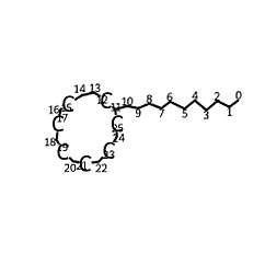 CCCCCCCCCCCC1CCCCCCCCCCCCCC1